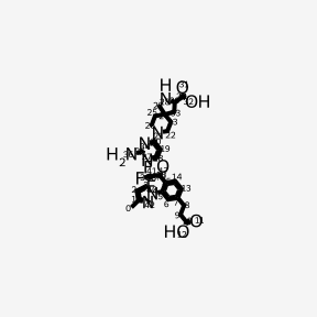 Cc1ccn(-c2cc(CCC(=O)O)ccc2[C@@H](Oc2cc(N3CCC4(CC3)CNC(C(=O)O)C4)nc(N)n2)C(F)(F)F)n1